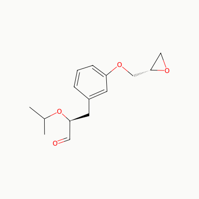 CC(C)O[C@H](C=O)Cc1cccc(OC[C@@H]2CO2)c1